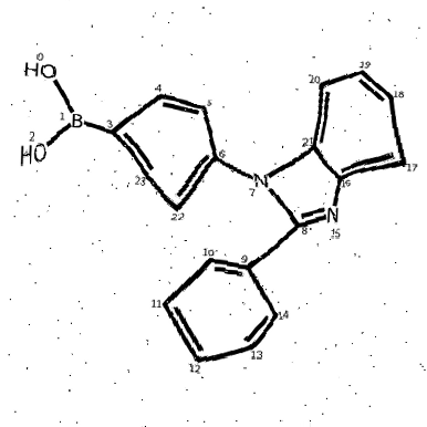 OB(O)c1ccc(-n2c(-c3ccccc3)nc3ccccc32)cc1